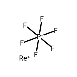 F[P-](F)(F)(F)(F)F.[Re+]